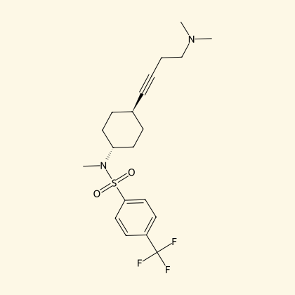 CN(C)CCC#C[C@H]1CC[C@H](N(C)S(=O)(=O)c2ccc(C(F)(F)F)cc2)CC1